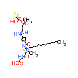 CCCCCCCCCCCCCCN1C(=NC(=O)c2ccc(C(=N)NCCCC(=O)OC)cc2)SC(C(=O)NCCC(=O)O)C1C.O=C(O)C(F)(F)F